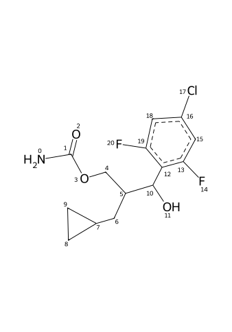 NC(=O)OCC(CC1CC1)C(O)c1c(F)cc(Cl)cc1F